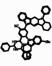 CC(C)(C)C1=Cc2c(n(C3CC(n4c5c(c6ccccc64)CC4C(=C5)C5CCCCC5N4c4ccccc4)=C(C#N)C=C3C3NC(c4ccccc4)NC(C4C=CC=CC4)N3)c3ccc(C(C)(C)C)cc23)CC1